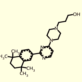 CC1(C)CCC(C)(C)c2cc(-c3nccc(N4CCN(CCCO)CC4)n3)ccc21